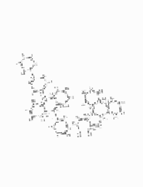 c1ccc(-c2ccc(-c3c4ccccc4c(-c4cccc(-c5ccc6sc7c8ccccc8c8ccccc8c7c6c5)c4)c4ccccc34)cc2)cc1